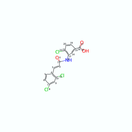 O=C(C=Cc1ccc(Cl)cc1Cl)Nc1cc(C(=O)O)ccc1Cl